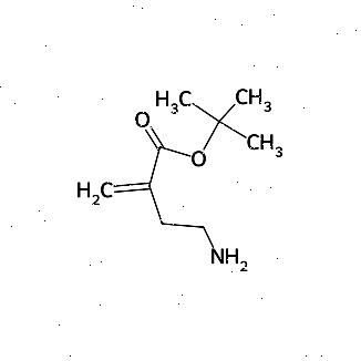 C=C(CCN)C(=O)OC(C)(C)C